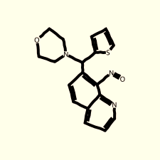 O=Nc1c(C(c2cccs2)N2CCOCC2)ccc2cccnc12